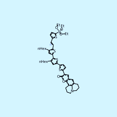 CCCCCCc1cc(-c2sc(-c3ccc(-c4cc5cc6c7c(c5oc4=O)CCCN7CCC6)s3)cc2CCCCCC)sc1/C=C/c1ccc([Si](OCC)(OCC)OCC)s1